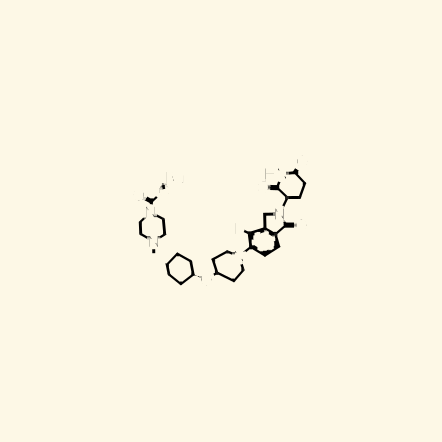 CC(C)(C)OC(=O)N1CCN(C[C@H]2CC[C@H](OC3CCN(c4ccc5c(c4F)CN(C4CCC(=O)NC4=O)C5=O)CC3)CC2)CC1